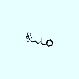 CCO[Si](C)(C)CCCNCc1ccccc1